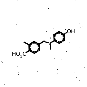 Cc1cc(CNc2ccc(O)cc2)ccc1C(=O)O